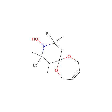 CCC1(C)CC2(OCC=CCO2)C(C)C(C)(CC)N1O